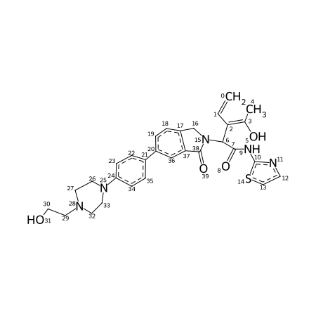 C=C/C(=C(\C)O)C(C(=O)Nc1nccs1)N1Cc2ccc(-c3ccc(N4CCN(CCO)CC4)cc3)cc2C1=O